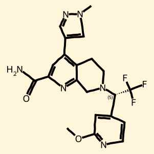 COc1cc([C@H](N2CCc3c(-c4cnn(C)c4)cc(C(N)=O)nc3C2)C(F)(F)F)ccn1